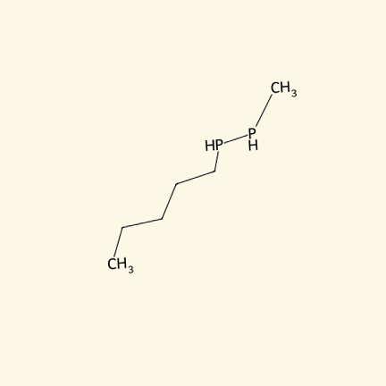 CCCCCPPC